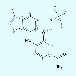 Cc1csc2c(Nc3ccc(C(N)=O)cc3OCCC(C)(F)F)ncnc12